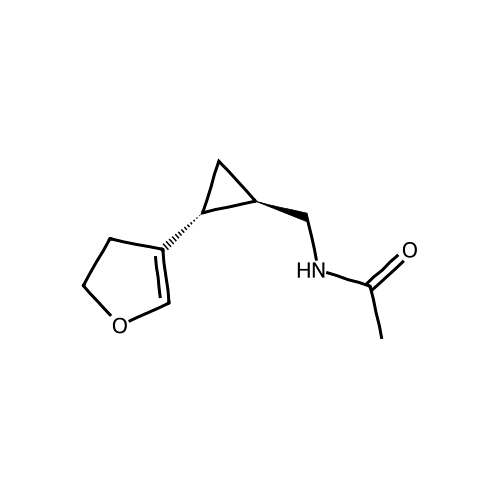 CC(=O)NC[C@@H]1C[C@H]1C1=COCC1